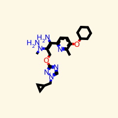 Cc1nc(/C(N)=C(\COc2ncn(CC3CC3)n2)N(C)N)ccc1OC1CCCCC1